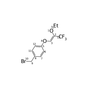 CCO/C(=C\Oc1ccc(CBr)cc1)C(F)(F)F